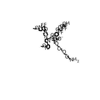 CCOc1ccc(C(=O)N2CCN(c3ccc(-c4cccnc4OCC)nc3CN(CCCOCCOCCOCCOCCN)S(=O)(=O)c3ccccc3[N+](=O)[O-])CC2)c(C(F)(F)F)n1.O=C(O)C(F)(F)F.O=C(O)C(F)(F)F